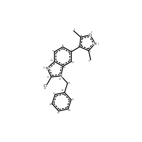 Cc1noc(C)c1-c1ccc2nc(Cl)n(Cc3ccccc3)c2c1